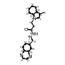 Cc1cn(CCC(=O)N/N=C/c2ccc3nccnc3c2)c2ccccc12